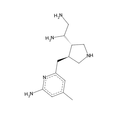 Cc1cc(N)nc(C[C@@H]2CNC[C@H]2C(N)CN)c1